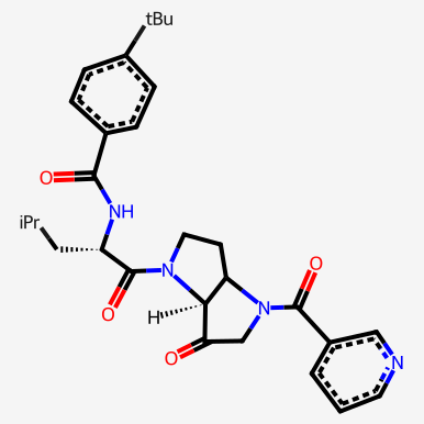 CC(C)C[C@H](NC(=O)c1ccc(C(C)(C)C)cc1)C(=O)N1CCC2[C@H]1C(=O)CN2C(=O)c1cccnc1